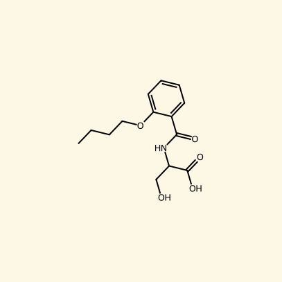 CCCCOc1ccccc1C(=O)NC(CO)C(=O)O